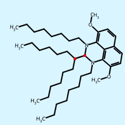 CCCCCCCCN(CCCCCCCC)c1c(OC)ccc2ccc(OC)c(N(CCCCCCCC)CCCCCCCC)c12